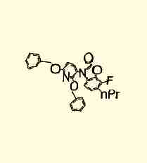 CCCc1ccc2c(oc(=O)n2-c2ccc(OCc3ccccc3)nc2OCc2ccccc2)c1F